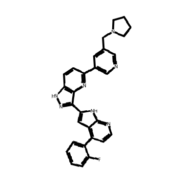 Fc1ccccc1-c1ccnc2[nH]c(-c3n[nH]c4ccc(-c5cncc(CN6CCCC6)c5)nc34)cc12